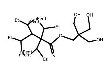 CCCCCC(CC)C(C(CC)CCCCC)C(C(=S)OCC(CO)(CO)CO)(C(CC)CCCCC)C(CC)CCCCC